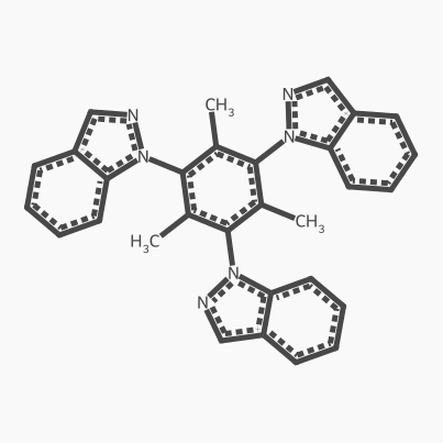 Cc1c(-n2ncc3ccccc32)c(C)c(-n2ncc3ccccc32)c(C)c1-n1ncc2ccccc21